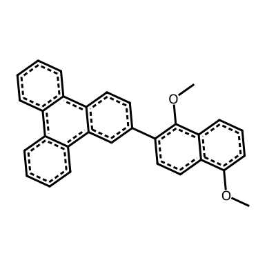 COc1cccc2c(OC)c(-c3ccc4c5ccccc5c5ccccc5c4c3)ccc12